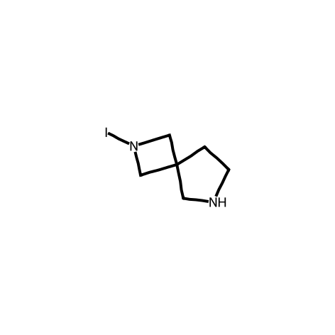 IN1CC2(CCNC2)C1